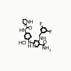 Cl.NC(=O)c1cnc(Nc2ccc(NC(=O)[C@@H]3CCCN3)cc2)cc1NCc1cc(F)cc(F)c1